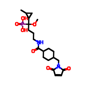 COC(CCCNC(=O)C1CCC(CN2C(=O)C=CC2=O)CC1)(C1CC1C)P(=O)(O)O